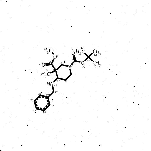 COC(=O)C1(C)CN(C(=O)OC(C)(C)C)CCC1NCc1ccccc1